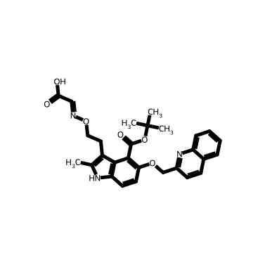 Cc1[nH]c2ccc(OCc3ccc4ccccc4n3)c(C(=O)OC(C)(C)C)c2c1CCON=CC(=O)O